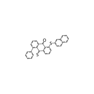 O=C1c2cccc(-c3ccccc3)c2C(=S)c2cccc(Sc3ccc4ccccc4c3)c21